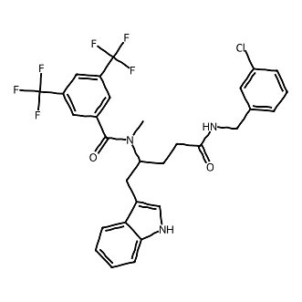 CN(C(=O)c1cc(C(F)(F)F)cc(C(F)(F)F)c1)C(CCC(=O)NCc1cccc(Cl)c1)Cc1c[nH]c2ccccc12